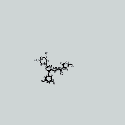 Cc1cc(-c2sc(N3C[C@@H](C)O[C@@H](C)C3)nc2CNC(=O)c2coc(C)n2)cc(C)n1